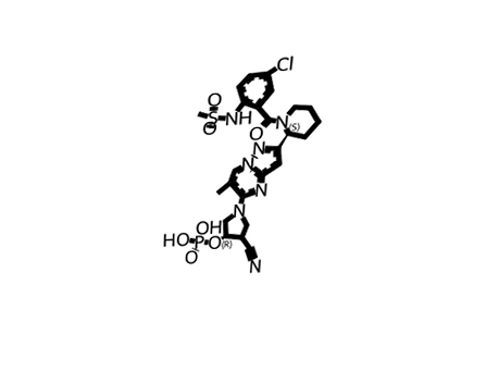 Cc1cn2nc([C@@H]3CCCCN3C(=O)c3cc(Cl)ccc3NS(C)(=O)=O)cc2nc1N1CC(C#N)[C@@H](OP(=O)(O)O)C1